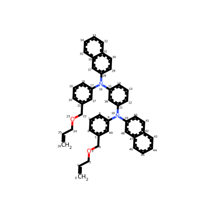 C=CCOCc1cccc(N(c2cccc(N(c3cccc(COCC=C)c3)c3ccc4ccccc4c3)c2)c2ccc3ccccc3c2)c1